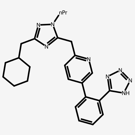 CCCn1nc(CC2CCCCC2)nc1Cc1ccc(-c2ccccc2-c2nnn[nH]2)cn1